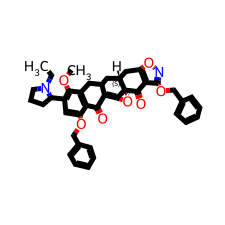 CCN1CCCC1c1cc(OCc2ccccc2)c2c(c1OC)CC1C[C@H]3Cc4onc(OCc5ccccc5)c4C(=O)[C@]34OC4=C1C2=O